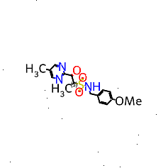 COc1ccc(CNS(=O)(=O)[C@@H](C)C(=O)c2ncc(C)cn2)cc1